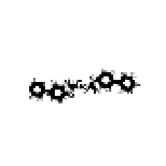 c1ccc(-c2ccc3sc(SSc4nc5cc(-c6ccccc6)ccc5s4)nc3c2)cc1